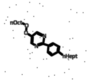 CCCCCCCCOOc1cnc(-c2ccc(CCCCCCC)cc2)nc1